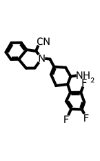 N#CC1c2ccccc2CCN1CC1=CCC(c2cc(F)c(F)cc2F)C(N)C1